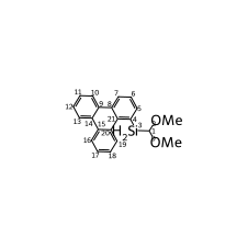 COC(OC)[SiH2]c1cccc2c3ccccc3c3ccccc3c12